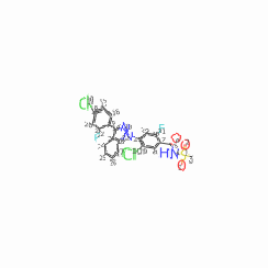 CS(=O)(=O)NC(=O)c1cc(Cl)c(-n2nc(-c3ccc(Cl)cc3F)c3ccccc32)cc1F